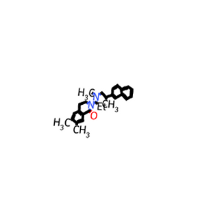 CCC(N(C)CC(C)c1ccc2ccccc2c1)N1CCc2cc(C)c(C)cc2C1=O